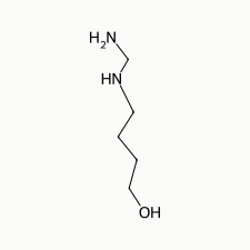 NCNCCCCO